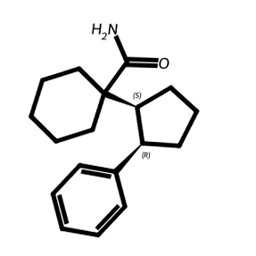 NC(=O)C1([C@H]2CCC[C@H]2c2ccccc2)CCCCC1